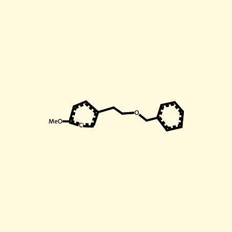 COc1ccc(CCOCc2ccccc2)cc1